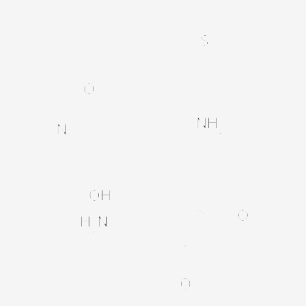 Nc1c(C(N)c2c(O)noc2-c2ccsc2)c(=O)c1=O